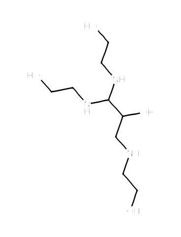 OCCNCC(O)C(NCCO)NCCO